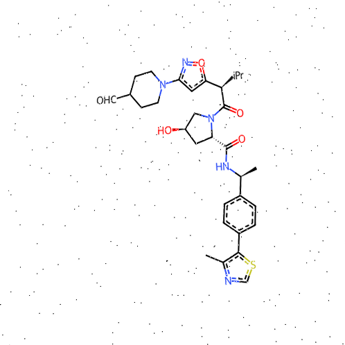 Cc1ncsc1-c1ccc([C@H](C)NC(=O)[C@@H]2C[C@@H](O)CN2C(=O)[C@@H](c2cc(N3CCC(C=O)CC3)no2)C(C)C)cc1